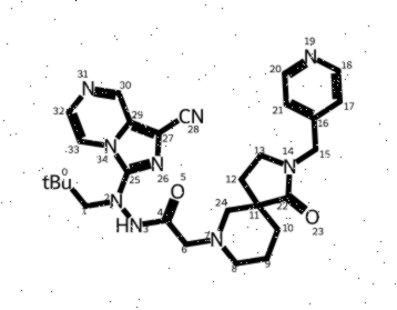 CC(C)(C)CN(NC(=O)CN1CCCC2(CCN(Cc3ccncc3)C2=O)C1)c1nc(C#N)c2cnccn12